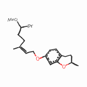 COC(CCC(C)=CCOc1ccc2c(c1)OC(C)C2)C(C)C